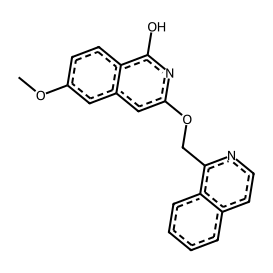 COc1ccc2c(O)nc(OCc3nccc4ccccc34)cc2c1